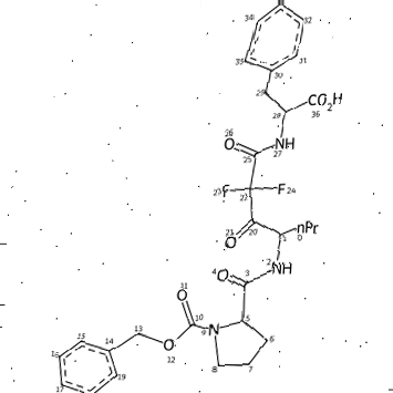 CCCC(NC(=O)C1CCCN1C(=O)OCc1ccccc1)C(=O)C(F)(F)C(=O)NC(Cc1ccccc1)C(=O)O